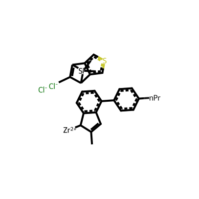 CC1=C2c3cscc3C1[Si]2(C)C.CCCc1ccc(-c2cccc3c2C=C(C)[CH]3[Zr+2])cc1.[Cl-].[Cl-]